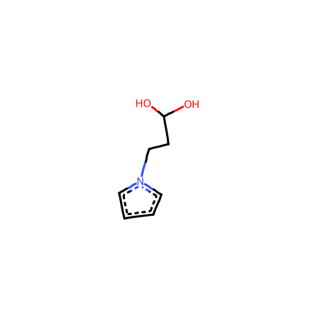 OC(O)CCn1cccc1